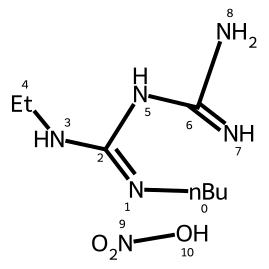 CCCC/N=C(/NCC)NC(=N)N.O=[N+]([O-])O